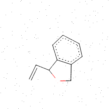 C=CC1OCc2ccccc21